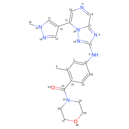 Cc1cc(Nc2nc3cncc(-c4cnn(C)c4)n3n2)ccc1C(=O)N1CCOCC1